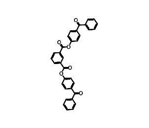 O=C(Oc1ccc(C(=O)c2ccccc2)cc1)c1cccc(C(=O)Oc2ccc(C(=O)c3ccccc3)cc2)c1